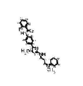 CN(CCCNC1=NN(C)C(c2ccc(NC(=O)c3ccccc3F)cc2)O1)C1CCCCC1